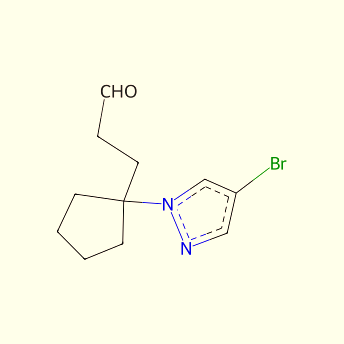 O=CCCC1(n2cc(Br)cn2)CCCC1